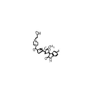 CC1(C)O/C(=C2/C(=O)Nc3ccc(F)cc32)C=C1c1ccc(C(=O)N2CCN(CCO)CC2)cc1